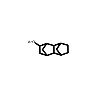 CC(=O)OC1CC2CC1C1C3CCC(C3)C21